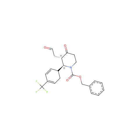 O=CC[C@@H]1C(=O)CCN(C(=O)OCc2ccccc2)[C@H]1C1C=CC(C(F)(F)F)=CC1